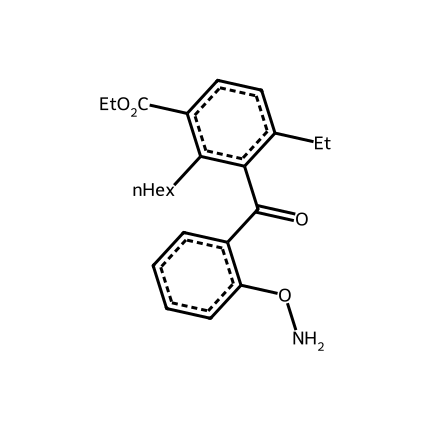 CCCCCCc1c(C(=O)OCC)ccc(CC)c1C(=O)c1ccccc1ON